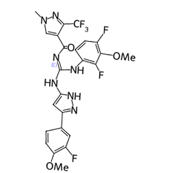 COc1ccc(-c2cc(N/C(=N/C(=O)c3cn(C)nc3C(F)(F)F)Nc3ccc(F)c(OC)c3F)[nH]n2)cc1F